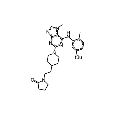 Cc1ccc(C(C)(C)C)cc1Nc1nc(N2CCC(CCN3CCCC3=O)CC2)nc2ncn(C)c12